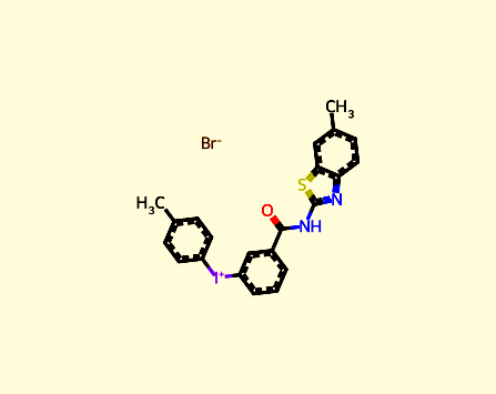 Cc1ccc([I+]c2cccc(C(=O)Nc3nc4ccc(C)cc4s3)c2)cc1.[Br-]